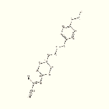 CCCc1ccc(CCCCC2CCC(C=C(F)C#N)CC2)cc1